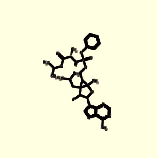 CC(N)CC12C(F)[C@H](n3cnc4c(N)ncnc43)OC1(C)[C@@H]2COP(=O)(N[C@@H](C)C(=O)OC(C)C)Oc1ccccc1